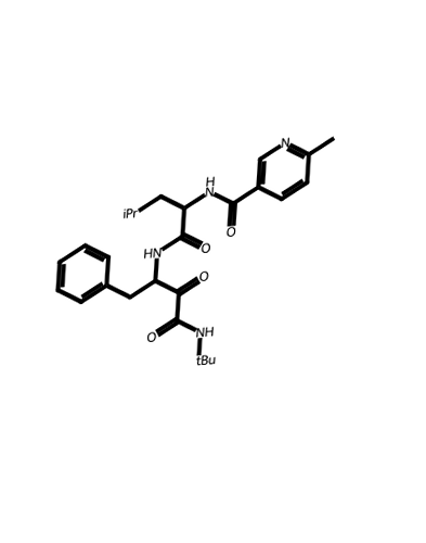 Cc1ccc(C(=O)NC(CC(C)C)C(=O)NC(Cc2ccccc2)C(=O)C(=O)NC(C)(C)C)cn1